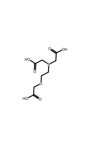 O=C(O)COCCN(CC(=O)O)CC(=O)O